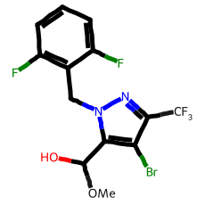 COC(O)c1c(Br)c(C(F)(F)F)nn1Cc1c(F)cccc1F